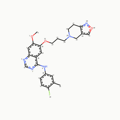 COc1cc2ncnc(Nc3ccc(F)c(C)c3)c2cc1OCCCN1CCc2nocc2C1